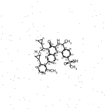 Cc1ncnc(C2CC2)c1-c1ncc2nc(NC(C)c3ccc(S(C)(=N)=O)cc3)c(=O)n([C@@H](C)C3CC3)c2n1